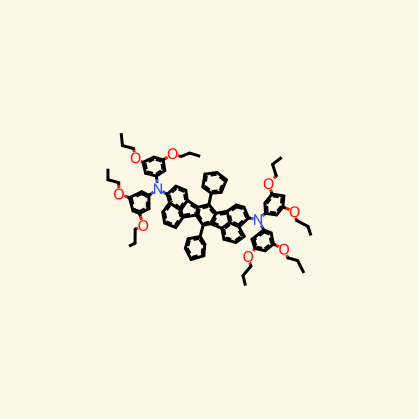 CCCOc1cc(OCCC)cc(N(c2cc(OCCC)cc(OCCC)c2)c2ccc3c4c(-c5ccccc5)c5c6ccc(N(c7cc(OCCC)cc(OCCC)c7)c7cc(OCCC)cc(OCCC)c7)c7cccc(c5c(-c5ccccc5)c4c4cccc2c43)c76)c1